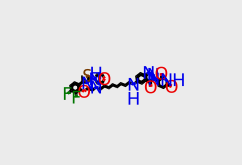 O=C1CCC(n2nnc3ccc(NCCCCCCCCNCCOc4c(-c5csc(N6CCOCC6)n5)ccc(F)c4F)cc3c2=O)C(=O)N1